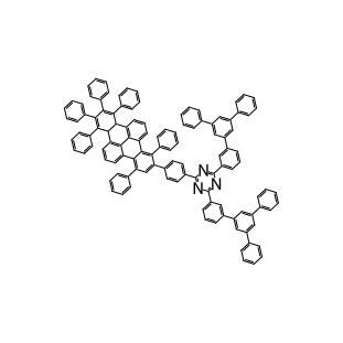 c1ccc(C2=C(c3ccccc3)C3c4cccc5c6c(-c7ccccc7)cc(-c7ccc(-c8nc(-c9cccc(-c%10cc(-c%11ccccc%11)cc(-c%11ccccc%11)c%10)c9)nc(-c9cccc(-c%10cc(-c%11ccccc%11)cc(-c%11ccccc%11)c%10)c9)n8)cc7)c(-c7ccccc7)c6c6cccc(c6c45)C3C(c3ccccc3)=C2c2ccccc2)cc1